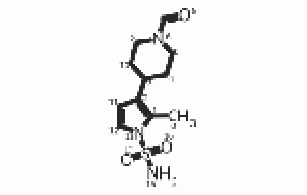 Cc1c(C2CCN(C=O)CC2)ccn1S(N)(=O)=O